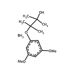 B.COc1cc(OC)cc(OC(C)(C)C(C)(C)O)c1